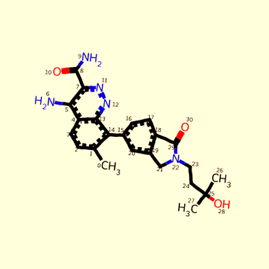 Cc1ccc2c(N)c(C(N)=O)nnc2c1-c1ccc2c(c1)CN(CCC(C)(C)O)C2=O